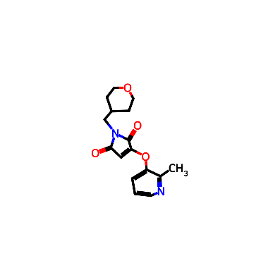 Cc1ncccc1OC1=CC(=O)N(CC2CCOCC2)C1=O